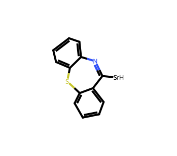 [SrH][C]1=Nc2ccccc2Sc2ccccc21